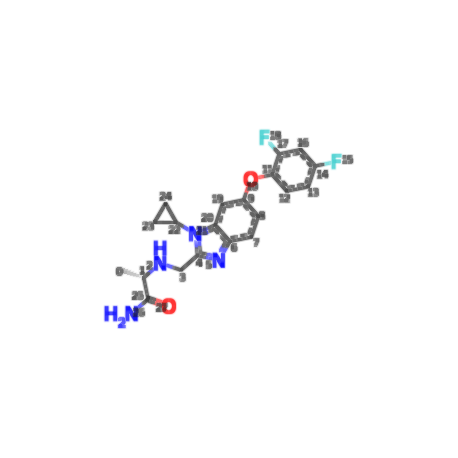 C[C@H](NCc1nc2ccc(Oc3ccc(F)cc3F)cc2n1C1CC1)C(N)=O